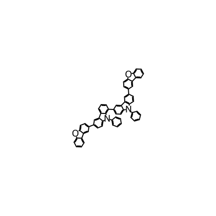 c1ccc(-n2c3ccc(-c4ccc5oc6ccccc6c5c4)cc3c3cc(-c4cccc5c6cc(-c7ccc8oc9ccccc9c8c7)ccc6n(-c6ccccc6)c45)ccc32)cc1